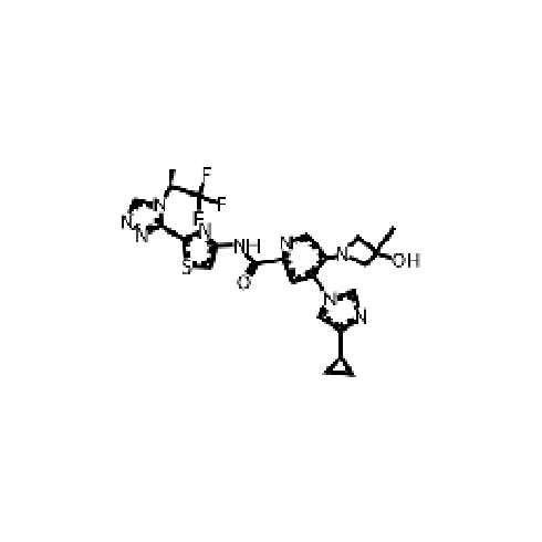 C[C@H](n1cnnc1-c1nc(NC(=O)c2cc(-n3cnc(C4CC4)c3)c(N3CC(C)(O)C3)cn2)cs1)C(F)(F)F